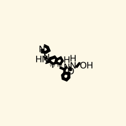 C[C@H]1C2=CNN(c3cccnc3)C2=CC2=C1[C@@H](CC(NC(=O)NCCO)c1ccccc1)CC2